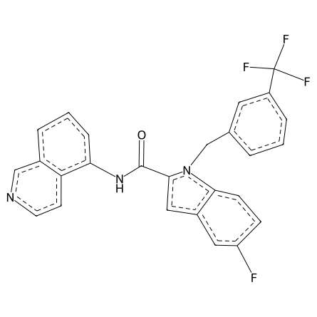 O=C(Nc1cccc2cnccc12)c1cc2cc(F)ccc2n1Cc1cccc(C(F)(F)F)c1